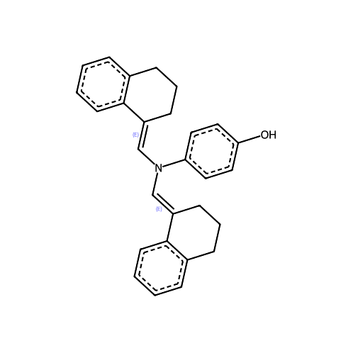 Oc1ccc(N(/C=C2\CCCc3ccccc32)/C=C2\CCCc3ccccc32)cc1